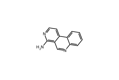 Nc1nccc2c1cnc1ccccc12